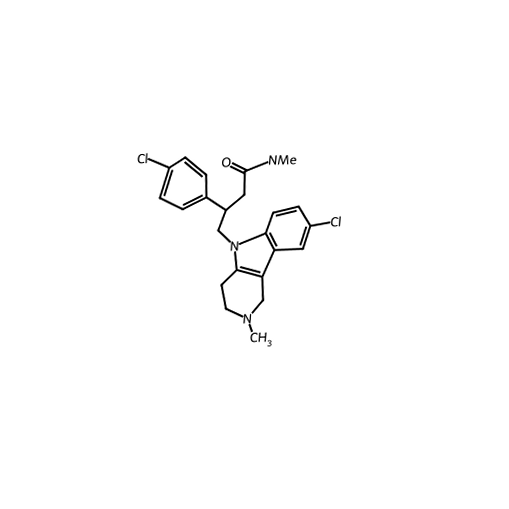 CNC(=O)CC(Cn1c2c(c3cc(Cl)ccc31)CN(C)CC2)c1ccc(Cl)cc1